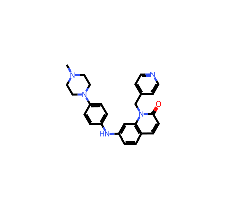 CN1CCN(c2ccc(Nc3ccc4ccc(=O)n(Cc5ccncc5)c4c3)cc2)CC1